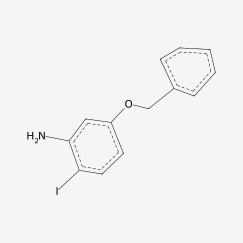 Nc1cc(OCc2ccccc2)ccc1I